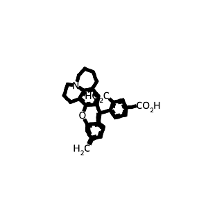 C=c1ccc2c(c1)Oc1c(cc3c4c1CCCN4CCCC3)C=2c1ccc(C(=O)O)cc1C(=O)O